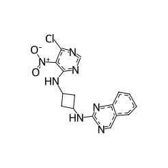 O=[N+]([O-])c1c(Cl)ncnc1NC1CC(Nc2ncc3ccccc3n2)C1